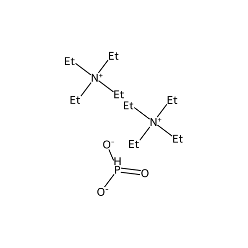 CC[N+](CC)(CC)CC.CC[N+](CC)(CC)CC.O=[PH]([O-])[O-]